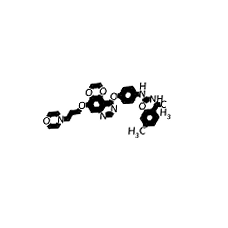 Cc1ccc(C(C)NC(=O)Nc2ccc(Oc3ncnc4cc(OCCCN5CCOCC5)c5c(c34)OCCO5)cc2)cc1